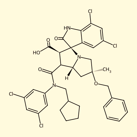 C[C@]1(OCc2ccccc2)C[C@@H]2C(C(=O)N(CC3CCCC3)c3cc(Cl)cc(Cl)c3)[C@@H](C(=O)O)[C@@]3(C(=O)Nc4c(Cl)cc(Cl)cc43)N2C1